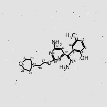 Cc1ccc(O)c(C(=NN)c2cc(N)nc(OCCN3CCOCC3)n2)c1